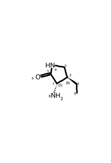 CC[C@@H]1CNC(=O)[C@H]1N